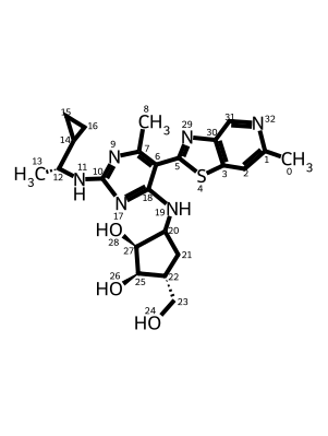 Cc1cc2sc(-c3c(C)nc(N[C@H](C)C4CC4)nc3NC3C[C@H](CO)[C@@H](O)[C@H]3O)nc2cn1